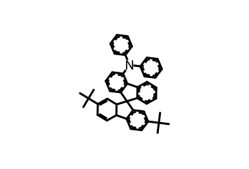 CC(C)(C)C1=CC2C(C=C1)c1ccc(C(C)(C)C)cc1C21c2ccccc2-c2c(N(c3ccccc3)c3ccccc3)cccc21